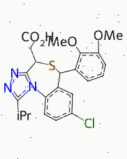 COc1cccc(C2SC(CC(=O)O)c3nnc(C(C)C)n3-c3ccc(Cl)cc32)c1OC